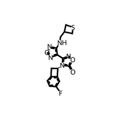 O=c1onc(-c2nonc2NCC2CSC2)n1[C@H]1Cc2ccc(F)cc21